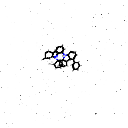 CC1C=Cc2c(n(C3=CC=CCC3C#N)c3c(N4C5=CC=CCC5C5C(C6=C=CCCC6)=CC=CC54)cccc23)C1